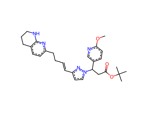 COc1ccc(C(CC(=O)OC(C)(C)C)n2ccc(/C=C/CCc3ccc4c(n3)NCCC4)n2)cn1